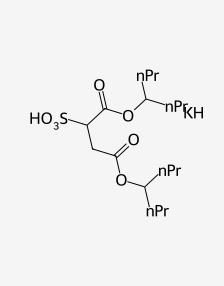 CCCC(CCC)OC(=O)CC(C(=O)OC(CCC)CCC)S(=O)(=O)O.[KH]